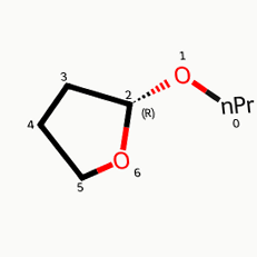 CCCO[C@H]1CCCO1